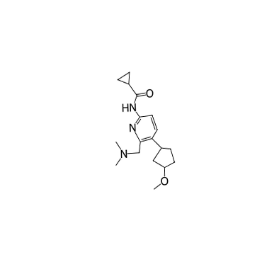 COC1CCC(c2ccc(NC(=O)C3CC3)nc2CN(C)C)C1